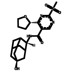 CS(=O)(=O)c1ncc(C(=O)N[C@H]2C3CC4CC2C[C@@](O)(C4)C3)c([C@@H]2CCCO2)n1